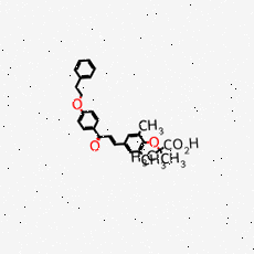 Cc1cc(/C=C/C(=O)c2ccc(OCCc3ccccc3)cc2)cc(C)c1OC(C)(C)C(=O)O